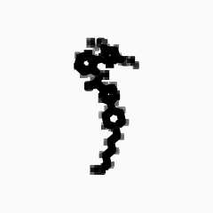 Cc1cc(C)n(-c2ncccc2NC(=O)c2csc(C3CCN(CCCCCO)CC3)n2)n1